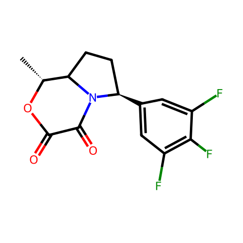 C[C@H]1OC(=O)C(=O)N2C1CC[C@H]2c1cc(F)c(F)c(F)c1